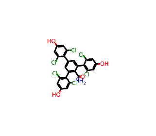 NC(=O)c1c(-c2c(Cl)cc(O)cc2Cl)cc(-c2c(Cl)cc(O)cc2Cl)cc1-c1c(Cl)cc(O)cc1Cl